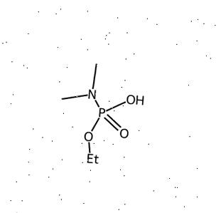 CCOP(=O)(O)N(C)C